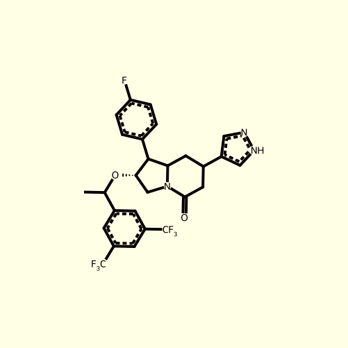 CC(O[C@H]1CN2C(=O)CC(c3cn[nH]c3)CC2C1c1ccc(F)cc1)c1cc(C(F)(F)F)cc(C(F)(F)F)c1